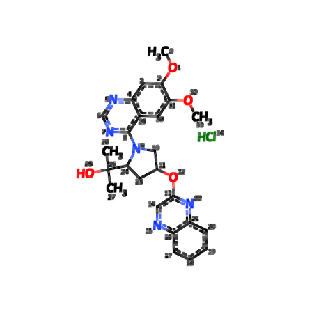 COc1cc2ncnc(N3CC(Oc4cnc5ccccc5n4)CC3C(C)(C)O)c2cc1OC.Cl